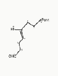 CCCCCCCC(=CCCC=O)CC